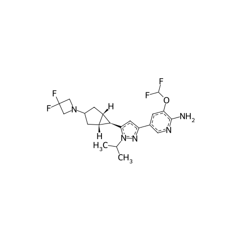 CC(C)n1nc(-c2cnc(N)c(OC(F)F)c2)cc1[C@H]1[C@@H]2CC(N3CC(F)(F)C3)C[C@@H]21